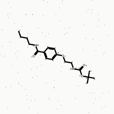 CCCCNC(=O)c1ccc(OCCNC(=O)OC(C)(C)C)cc1